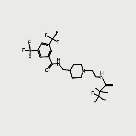 C=C(NCCN1CCC(CNC(=O)c2cc(C(F)(F)F)cc(C(F)(F)F)c2)CC1)C(C)(C)C(F)(F)F